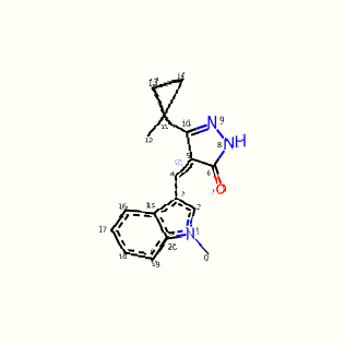 Cn1cc(/C=C2\C(=O)NN=C2C2(C)CC2)c2ccccc21